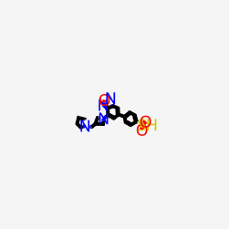 O=[SH](=O)c1ccc(-c2cc(N3CC(CN4CCCC4)C3)c3nonc3c2)cc1